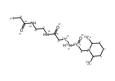 [13CH3]C1CCCC([13CH3])N1C[13C](=O)[15NH][13CH2]CC(=O)NCCNC(=O)CI